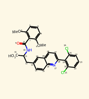 COc1cccc(OC)c1C(=O)NC(Cc1ccc2nc(-c3c(Cl)cccc3Cl)ccc2c1)C(=O)O